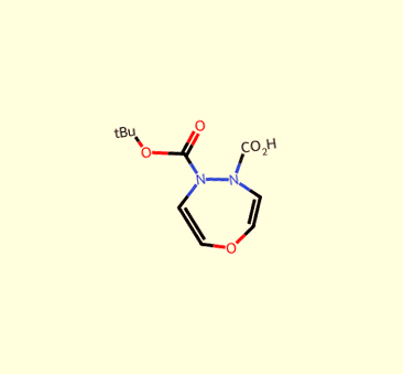 CC(C)(C)OC(=O)n1ccoccn1C(=O)O